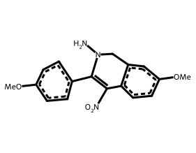 COc1ccc(C2=C([N+](=O)[O-])c3ccc(OC)cc3CN2N)cc1